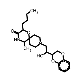 CCCCC1OC2(CCN(CC(O)C3COc4ccccc4O3)CC2)C(C)NC1=O